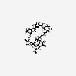 C=CC(=O)OCC(CO)(COCC(COC(=O)C=C)(COC(=O)C=C)COC(=O)/C=C/CC1(C)CC(NC(=O)c2cccc(C(=O)NC3CC(C)(C)NC(C)(C)C3)c2)CC(C)(C)N1)COC(=O)C=C